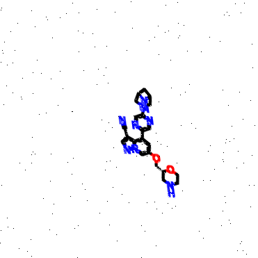 N#Cc1cnn2cc(OC[C@H]3CNCCO3)cc(-c3cnc(N4CC5CC(C4)N5)cn3)c12